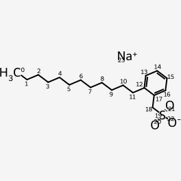 CCCCCCCCCCCCc1ccccc1CS(=O)(=O)[O-].[Na+]